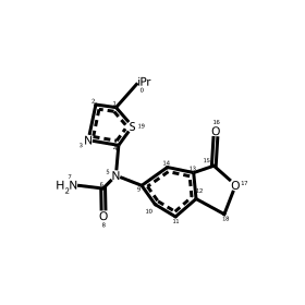 CC(C)c1cnc(N(C(N)=O)c2ccc3c(c2)C(=O)OC3)s1